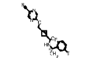 C[C@H](NC(=O)C12CC(COc3cnc(C#N)cn3)(C1)C2)c1cc(F)ccc1F